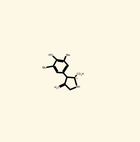 C=C1CN[C@H](C(=O)O)C1c1cc(C(C)(C)C)c(O)c(C(C)(C)C)c1